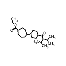 CCOC(=O)N1CCCC(N2CCC(C(=O)N(C(C)C)C(C)C)CC2)CC1